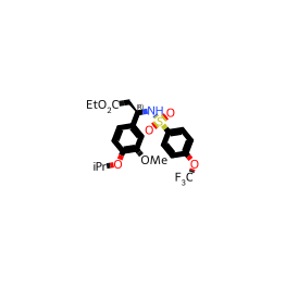 CCOC(=O)C[C@@H](NS(=O)(=O)c1ccc(OC(F)(F)F)cc1)c1ccc(OC(C)C)c(OC)c1